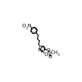 CS(=O)(=O)Oc1cn(CCCCc2ccc([N+](=O)[O-])cc2)nn1